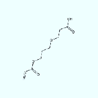 C=CC(=O)OCCCOCCC(=O)O